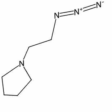 [N-]=[N+]=NCCN1CCCC1